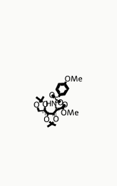 COC(=O)[C@H](NS(=O)(=O)c1ccc(OC)cc1)[C@@H]1OC(C)(C)O[C@H]1[C@H]1COC(C)(C)O1